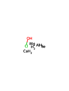 OCl.[AlH3].[CaH2].[Fe].[MgH2]